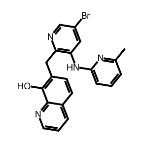 Cc1cccc(Nc2cc(Br)cnc2Cc2ccc3cccnc3c2O)n1